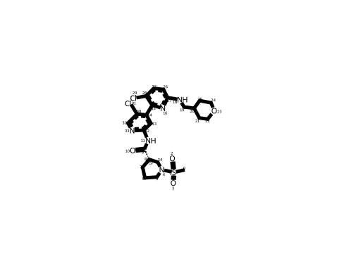 CS(=O)(=O)N1CCC[C@H](C(=O)Nc2cc(-c3nc(NCC4CCOCC4)ccc3Cl)c(Cl)cn2)C1